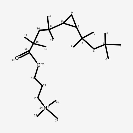 CC(C)(C)CC(C)(C)C1CC1C(C)(C)CC(C)(C)C(=O)OCCC[N+](C)(C)C